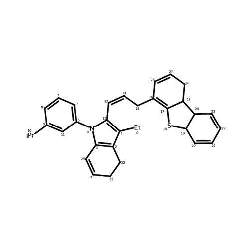 CCc1c2c(n(-c3cccc(C(C)C)c3)c1/C=C\CC1=C3SC4C=CC=CC4C3CC=C1)C=CCC2